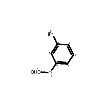 CC(C)c1cccc(OC=O)c1